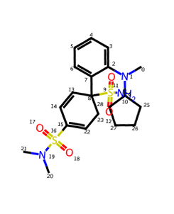 CN(c1ccccc1C1(S(N)(=O)=O)C=CC(S(=O)(=O)N(C)C)=CC1)C1CCCC1